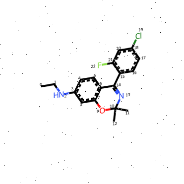 CCNc1ccc2c(c1)OC(C)(C)N=C2c1ccc(Cl)cc1F